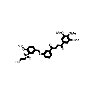 CCCOc1ccc(COc2cccc(C(=O)CCC(=O)c3cc(OC)c(OC)c(OC)c3)c2)cc1S(=O)(=O)CCO